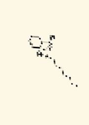 CCCCCCCCC(=O)C1(N)C=CC=CC1C(=O)O